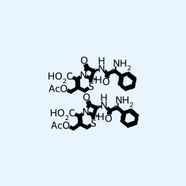 CC(=O)OCC1=C(C(=O)O)N2C(=O)[C@@H](NC(=O)[C@H](N)c3ccccc3)[C@H]2SC1.CC(=O)OCC1=C(C(=O)O)N2C(=O)[C@@H](NC(=O)[C@H](N)c3ccccc3)[C@H]2SC1